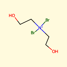 OCC[N+](Br)(Br)CCO